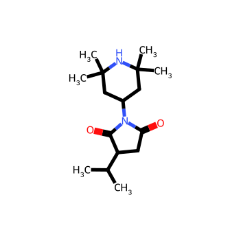 CC(C)C1CC(=O)N(C2CC(C)(C)NC(C)(C)C2)C1=O